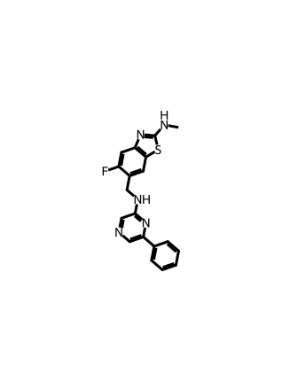 CNc1nc2cc(F)c(CNc3cncc(-c4ccccc4)n3)cc2s1